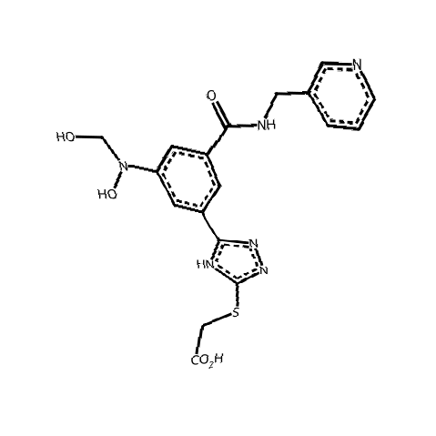 O=C(O)CSc1nnc(-c2cc(C(=O)NCc3cccnc3)cc(N(O)CO)c2)[nH]1